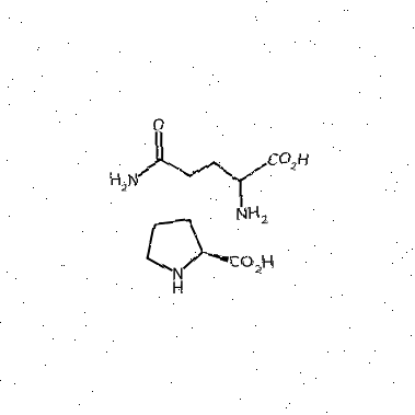 NC(=O)CCC(N)C(=O)O.O=C(O)[C@@H]1CCCN1